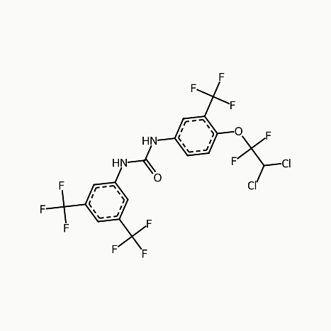 O=C(Nc1cc(C(F)(F)F)cc(C(F)(F)F)c1)Nc1ccc(OC(F)(F)C(Cl)Cl)c(C(F)(F)F)c1